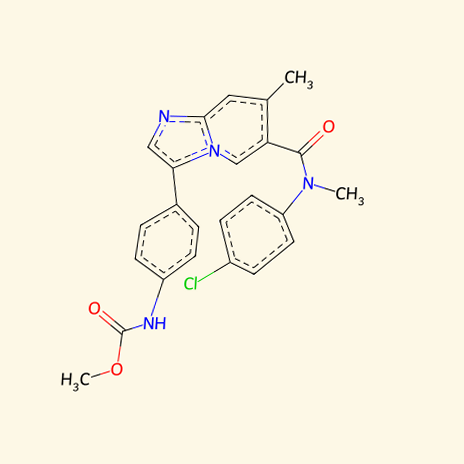 COC(=O)Nc1ccc(-c2cnc3cc(C)c(C(=O)N(C)c4ccc(Cl)cc4)cn23)cc1